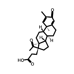 CC(=O)[C@@]1(CCC(=O)O)CC[C@H]2[C@@H]3CCC4=CC(=O)C(C)=C[C@]4(C)[C@H]3CC[C@@]21C